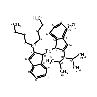 CCCCP(CCCC)C1=Cc2ccccc2[CH]1[Ti+2][CH]1C(P(C(C)C)C(C)C)=Cc2ccccc21.[Cl-].[Cl-]